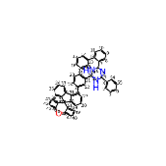 c1ccc(C2=NC(c3ccccc3-c3ccccc3)NC(c3cccc(-c4cccc5c4-c4ccccc4C54c5ccccc5Oc5ccccc54)c3)N2)cc1